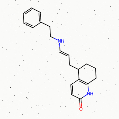 O=c1ccc2c([nH]1)CCCC2CC=CNCCc1ccccc1